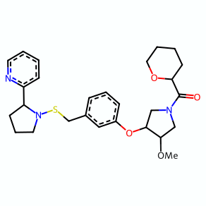 COC1CN(C(=O)C2CCCCO2)CC1Oc1cccc(CSN2CCCC2c2ccccn2)c1